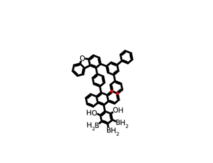 Bc1c(B)c(O)c(-c2c3ccccc3c(-c3ccc(-c4c(-c5cc(-c6ccccc6)cc(-c6ccccc6)c5)ccc5oc6ccccc6c45)cc3)c3ccccc23)c(O)c1B